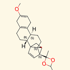 COC1=CCC2=C(CC[C@@H]3[C@@H]2CC[C@@]2(C)C34C=C[C@@]2(C2(C)OC(C)O2)CC4)C1